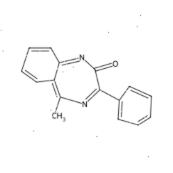 Cc1nc(-c2ccccc2)c(=O)nc2ccccc12